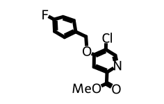 COC(=O)c1cc(OCc2ccc(F)cc2)c(Cl)cn1